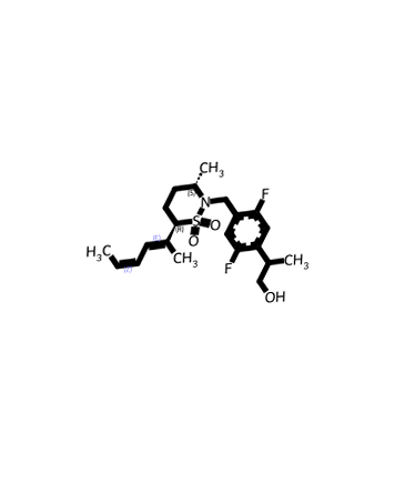 C/C=C\C=C(/C)[C@H]1CC[C@H](C)N(Cc2cc(F)c(C(C)CO)cc2F)S1(=O)=O